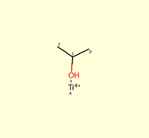 CC(C)O.[Ti+4]